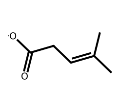 CC(C)=CCC([O])=O